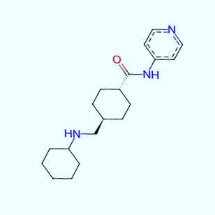 O=C(Nc1ccncc1)[C@H]1CC[C@H](CNC2CCCCC2)CC1